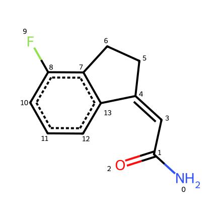 NC(=O)/C=C1/CCc2c(F)cccc21